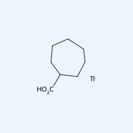 O=C(O)C1CCCCCC1.[Tl]